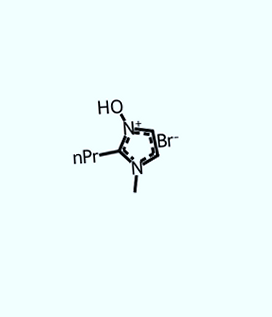 CCCc1n(C)cc[n+]1O.[Br-]